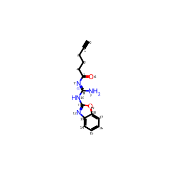 C#CCCCC(=O)/N=C(\N)Nc1nc2ccccc2o1